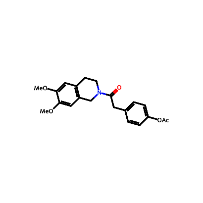 COc1cc2c(cc1OC)CN(C(=O)Cc1ccc(OC(C)=O)cc1)CC2